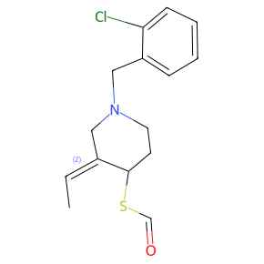 C/C=C1/CN(Cc2ccccc2Cl)CCC1SC=O